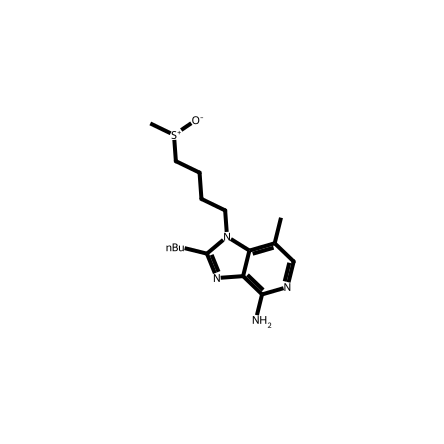 CCCCc1nc2c(N)ncc(C)c2n1CCCC[S+](C)[O-]